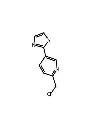 ClCc1ccc(-c2nccs2)cn1